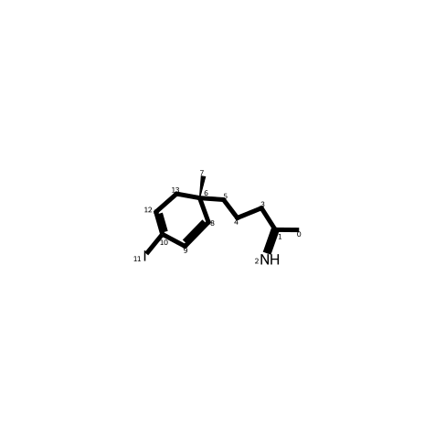 CC(=N)CCC[C@]1(C)C=CC(I)=CC1